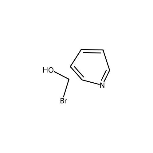 OCBr.c1ccncc1